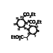 CCOC(=O)Cc1ccccc1.CCOC(=O)c1ccccc1C(=O)OCC